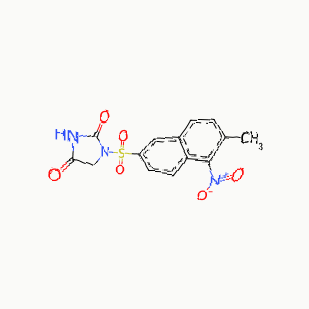 Cc1ccc2cc(S(=O)(=O)N3CC(=O)NC3=O)ccc2c1[N+](=O)[O-]